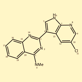 CNc1nc(-c2c[nH]c3ncc(Cl)cc23)nc2ccccc12